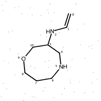 C=CNC1CNCCCOC1